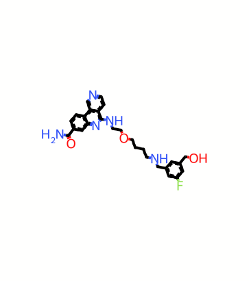 NC(=O)c1ccc2c(c1)nc(NCCOCCCCNCc1cc(F)cc(CO)c1)c1ccncc12